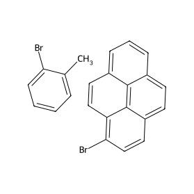 Brc1ccc2ccc3cccc4ccc1c2c34.Cc1ccccc1Br